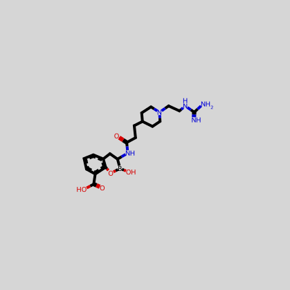 N=C(N)NCCN1CCC(CCC(=O)NC2Cc3cccc(C(=O)O)c3OB2O)CC1